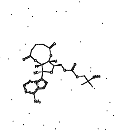 COC(C)(C)COC(=O)OC[C@H]1O[C@@](C#N)(c2ccc3c(N)ncnn23)[C@@H]2OC(=O)CCCC(=O)O[C@@H]21